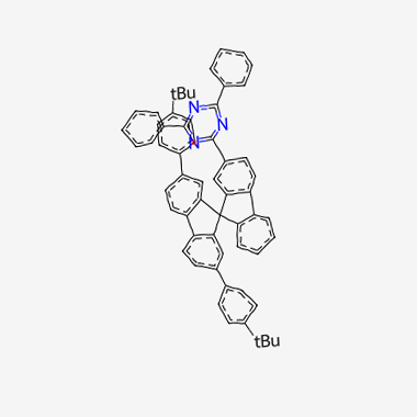 CC(C)(C)c1ccc(-c2ccc3c(c2)C2(c4ccccc4-c4ccc(-c5nc(-c6ccccc6)nc(-c6ccccc6)n5)cc42)c2cc(-c4ccc(C(C)(C)C)cc4)ccc2-3)cc1